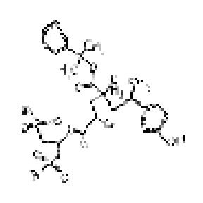 CCC(CC(C)(CC(C)c1ccc(O)cc1)C(=O)OC(C)(C)c1ccccc1)C(=O)OC(CS(=O)(=O)C(C)C)CS(=O)(=O)C(C)C